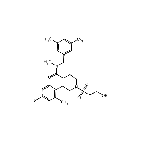 Cc1cc(F)ccc1C1CN(S(=O)(=O)CCO)CCC1C(=O)N(C)Cc1cc(C(F)(F)F)cc(C(F)(F)F)c1